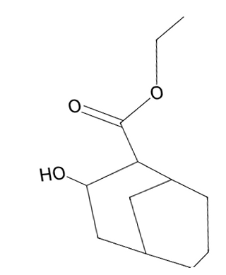 CCOC(=O)C1C(O)CC2CCCC1C2